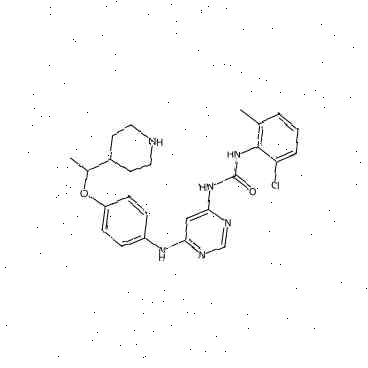 Cc1cccc(Cl)c1NC(=O)Nc1cc(Nc2ccc(OC(C)C3CCNCC3)cc2)ncn1